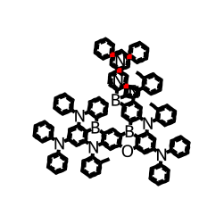 Cc1ccccc1N1c2cc3c(cc2B2c4cc5c(cc4Oc4cc(N(c6ccccc6)c6ccccc6)cc1c42)N(c1ccccc1C)c1cc(N(c2ccccc2)c2ccccc2)cc2c1B5c1ccccc1N2c1ccccc1)B1c2ccccc2N(c2ccccc2)c2cc(N(c4ccccc4)c4ccccc4)cc(c21)N3c1ccccc1C